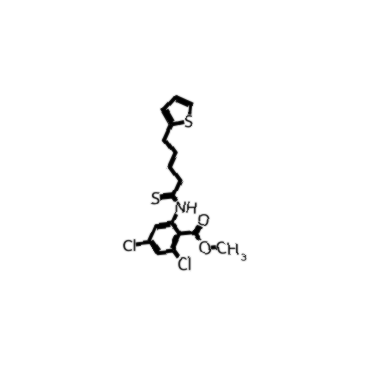 COC(=O)c1c(Cl)cc(Cl)cc1NC(=S)CCCCc1cccs1